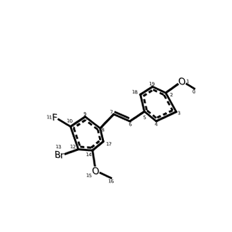 COc1ccc(/C=C/c2cc(F)c(Br)c(OC)c2)cc1